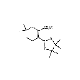 CCOC(=O)C1=C(B2OC(C)(C)C(C)(C)O2)CCC(C)(C)C1